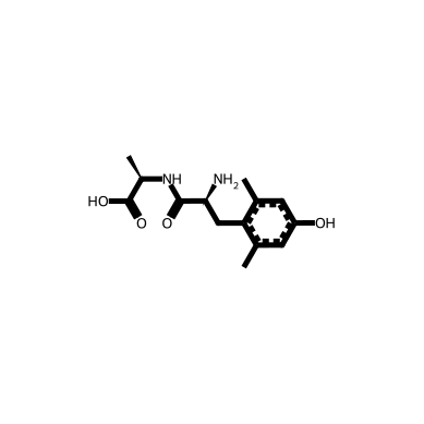 Cc1cc(O)cc(C)c1C[C@H](N)C(=O)N[C@H](C)C(=O)O